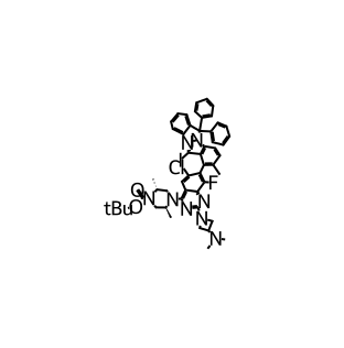 Cc1ccc2c(c(I)nn2C(c2ccccc2)(c2ccccc2)c2ccccc2)c1-c1c(Cl)cc2c(N3C[C@@H](C)N(C(=O)OC(C)(C)C)C[C@@H]3C)nc(N3CC(N(C)C)C3)nc2c1F